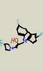 OC(CN1CCC(F)C1)Cn1c2ccc(F)cc2c2cc(F)ccc21